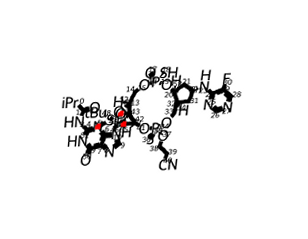 CC(C)C(=O)Nc1nc2c(ncn2[C@@H]2O[C@@H]3CO[P@@](=O)(S)O[C@H]4C[C@H](Nc5ncncc5F)C[C@@H]4CO[P@](=S)(OCCC#N)O[C@@H]2[C@@H]3O[Si](C)(C)C(C)(C)C)c(=O)[nH]1